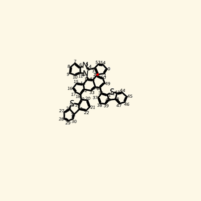 c1ccc(-c2nc3ccccc3n2-c2c3cccc(-c4cccc5c4sc4ccccc45)c3cc3c(-c4cccc5c4sc4ccccc45)cccc23)cc1